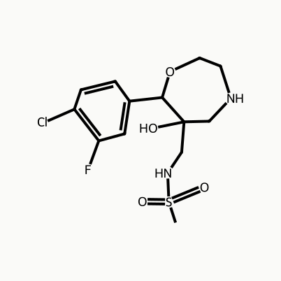 CS(=O)(=O)NCC1(O)CNCCOC1c1ccc(Cl)c(F)c1